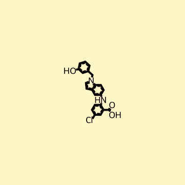 O=C(O)c1cc(Cl)ccc1Nc1ccc2c(ccn2Cc2cccc(O)c2)c1